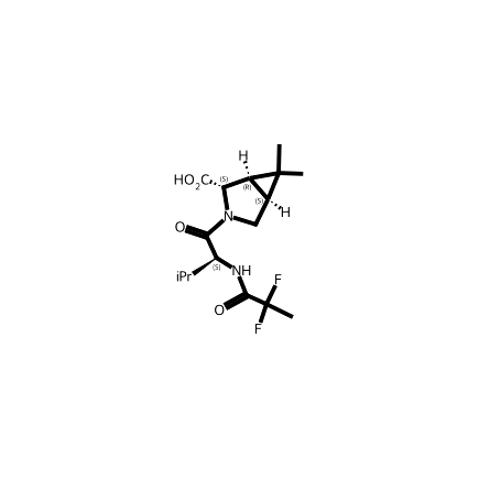 CC(C)[C@H](NC(=O)C(C)(F)F)C(=O)N1C[C@H]2[C@@H]([C@H]1C(=O)O)C2(C)C